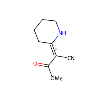 COC(=O)/C(C#N)=C1\CCCCN1